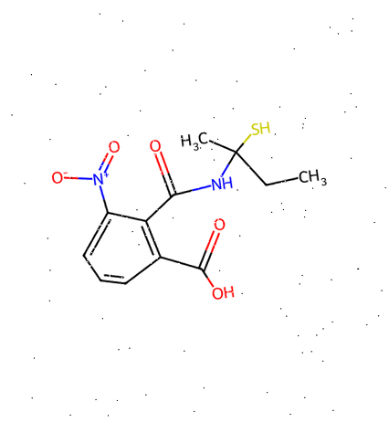 CCC(C)(S)NC(=O)c1c(C(=O)O)cccc1[N+](=O)[O-]